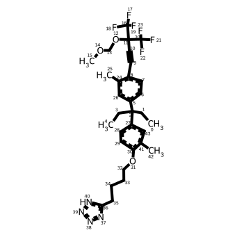 CCC(CC)(c1ccc(C#CC(OCOC)(C(F)(F)F)C(F)(F)F)c(C)c1)c1ccc(OCCCCc2nnn[nH]2)c(C)c1